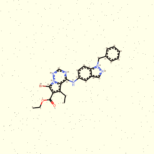 CCOC(=O)c1c(CC)c2c(Nc3ccc4c(cnn4Cc4ccccc4)c3)ncnn2c1Br